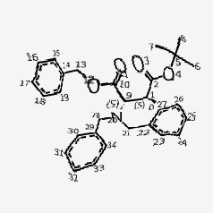 C[C@H](C(=O)OC(C)(C)C)[C@@H](C(=O)OCc1ccccc1)N(Cc1ccccc1)Cc1ccccc1